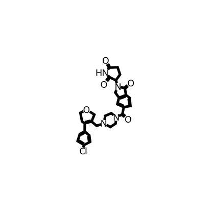 O=C1CCC(N2Cc3cc(C(=O)N4CCN(CC5=C(c6ccc(Cl)cc6)CCOC5)CC4)ccc3C2=O)C(=O)N1